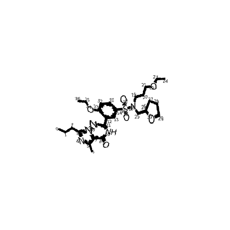 CCCc1nc(C)c2c(=O)[nH]c(-c3cc(S(=O)(=O)N(CCCOCC)CC4CCCO4)ccc3OCC)nn12